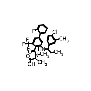 CCC(Nc1cc(-c2ccccc2F)cc(C(F)(F)F)c1C(=O)N(C)[C@@H](C)C(=O)O)c1ccc(Cl)c(C)c1